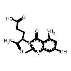 Cc1nc2cc(O)cc(N)c2c(=O)n1C(CCC(=O)O)C(N)=O